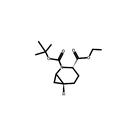 CCOC(=O)[C@@H]1CC[C@@H]2CC2N1C(=O)OC(C)(C)C